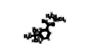 C[SiH](C)OC(Br)c1cccc(C(C)(C)C)c1